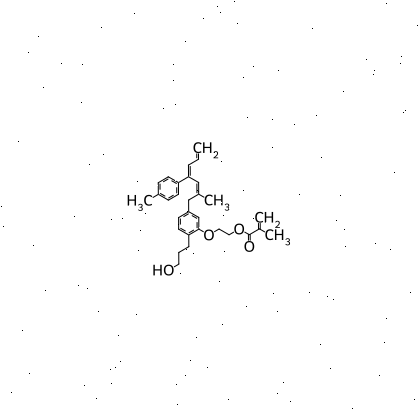 C=C/C=C(\C=C(\C)Cc1ccc(CCCO)c(OCCOC(=O)C(=C)C)c1)c1ccc(C)cc1